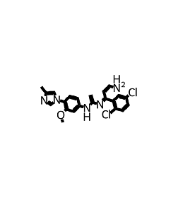 C=C(/N=C(\C=C/N)c1cc(Cl)ccc1Cl)Nc1ccc(-n2cnc(C)c2)c(OC)c1